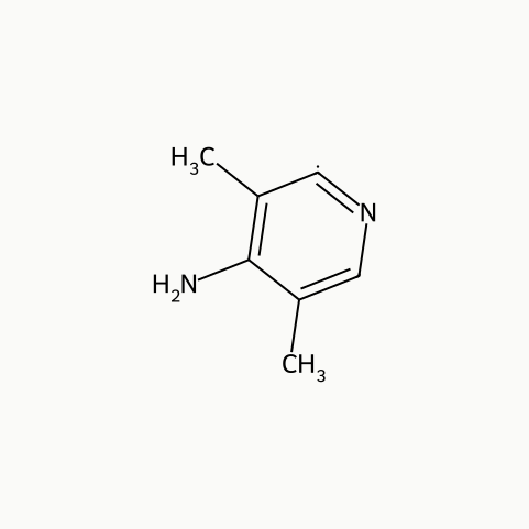 Cc1[c]ncc(C)c1N